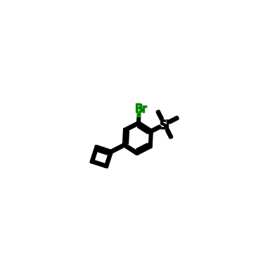 C[Si](C)(C)c1ccc(C2=CCC2)cc1Br